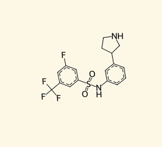 O=S(=O)(Nc1cccc(C2CCNC2)c1)c1cc(F)cc(C(F)(F)F)c1